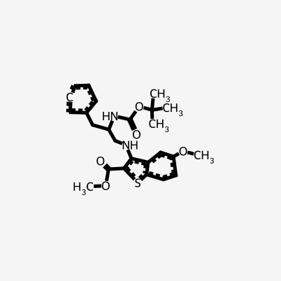 COC(=O)c1sc2ccc(OC)cc2c1NCC(Cc1ccccc1)NC(=O)OC(C)(C)C